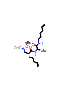 C=CCCCCNC(=O)C(NC(=O)[C@H](CCCC=C)CN(C=O)OCCCC)C(C)(C)C